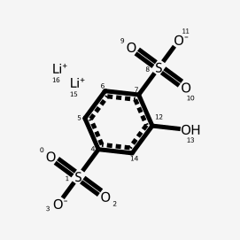 O=S(=O)([O-])c1ccc(S(=O)(=O)[O-])c(O)c1.[Li+].[Li+]